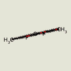 CCCCCCCCCCCCCCCCC(F)CCCCCCCCOCCCCCCCCC(F)CCCCCCCCCCCCCCCC